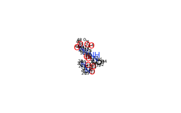 CCOC(=O)CCC(NC(=O)c1cc(OCC(=O)N2CCCC2C(=O)N2CCCC2)c2ccc(C)cc2n1)C(=O)N1CCN(C(=O)OCC)CC1